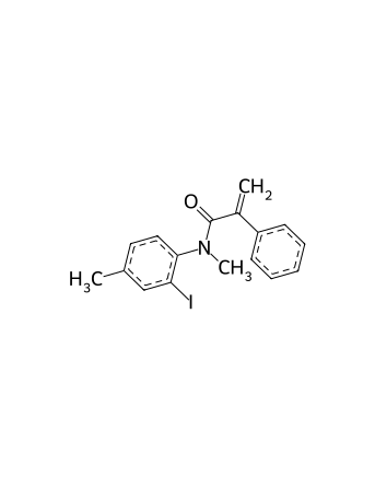 C=C(C(=O)N(C)c1ccc(C)cc1I)c1ccccc1